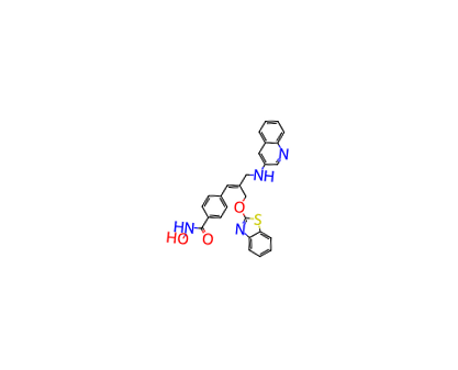 O=C(NO)c1ccc(C=C(CNc2cnc3ccccc3c2)COc2nc3ccccc3s2)cc1